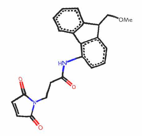 COCC1c2ccccc2-c2c(NC(=O)CCN3C(=O)C=CC3=O)cccc21